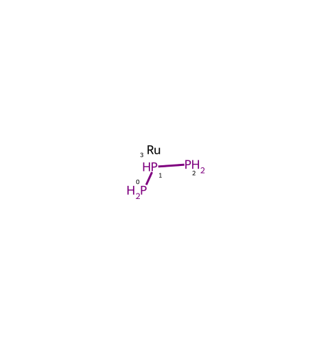 PPP.[Ru]